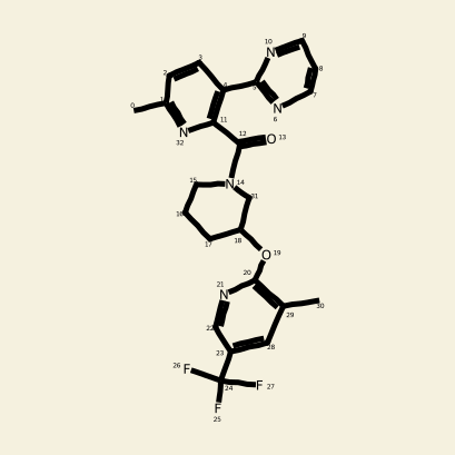 Cc1ccc(-c2ncccn2)c(C(=O)N2CCCC(Oc3ncc(C(F)(F)F)cc3C)C2)n1